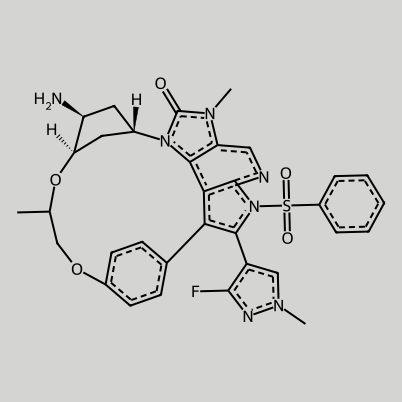 CC1COc2ccc(cc2)-c2c(-c3cn(C)nc3F)n(S(=O)(=O)c3ccccc3)c3ncc4c(c23)n(c(=O)n4C)[C@H]2C[C@H](N)[C@@H](C2)O1